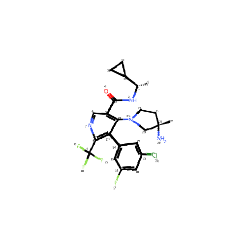 C[C@H](NC(=O)c1cnc(C(F)(F)F)c(-c2cc(F)cc(Cl)c2)c1N1CC[C@](C)(N)C1)C1CC1